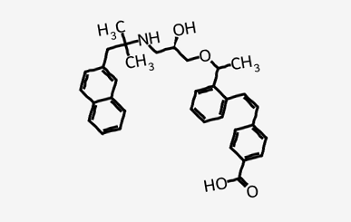 CC(OC[C@H](O)CNC(C)(C)Cc1ccc2ccccc2c1)c1ccccc1/C=C\c1ccc(C(=O)O)cc1